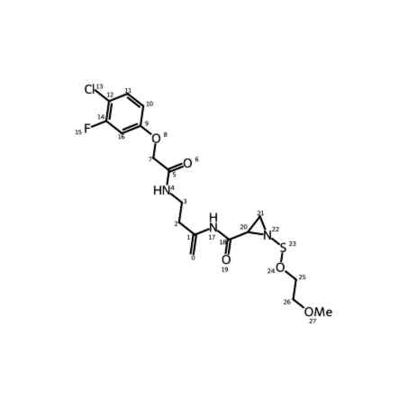 C=C(CCNC(=O)COc1ccc(Cl)c(F)c1)NC(=O)C1CN1SOCCOC